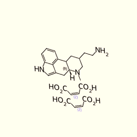 CN1CC(CCN)CC2c3cccc4[nH]cc(c34)C[C@H]21.O=C(O)/C=C\C(=O)O.O=C(O)/C=C\C(=O)O